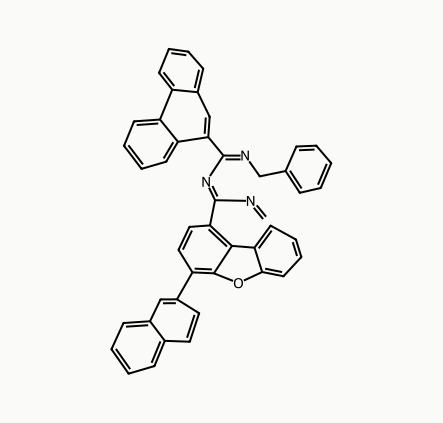 C=N/C(=N\C(=N/Cc1ccccc1)c1cc2ccccc2c2ccccc12)c1ccc(-c2ccc3ccccc3c2)c2oc3ccccc3c12